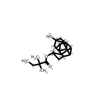 CCC(C)(C)C(=O)OC12CC3C4CC5(O)CC36CC(C5)(C4C1)C6C2